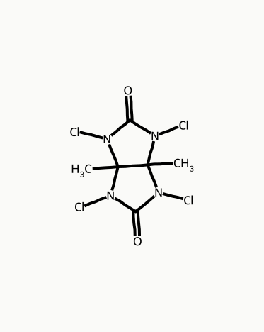 CC12N(Cl)C(=O)N(Cl)C1(C)N(Cl)C(=O)N2Cl